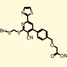 CCCCSCSc1nc(-c2nccs2)cc(-c2ccc(COCC(=O)OC)cc2)c1C#N